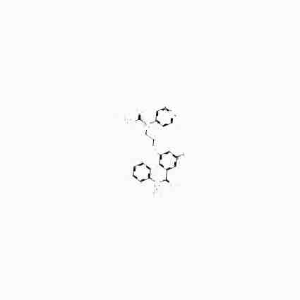 CCN(C(=O)c1cc(Cl)cc(OCCN(C(=O)OC(C)(C)C)c2ccncc2)c1)c1ccccc1